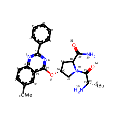 COc1ccc2nc(-c3ccccc3)nc(O[C@@H]3CC(C(N)=O)N(C(=O)[C@@H](N)C(C)(C)C)C3)c2c1